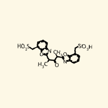 CC(C(=O)C(C)c1nc2cccc(CS(=O)(=O)O)c2o1)c1nc2cccc(CS(=O)(=O)O)c2o1